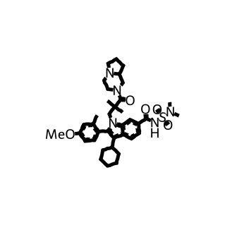 COc1ccc(-c2c(C3CCCCC3)c3ccc(C(=O)NS(=O)(=O)N(C)C)cc3n2CC(C)(C)C(=O)N2CCN3CCCC3C2)c(C)c1